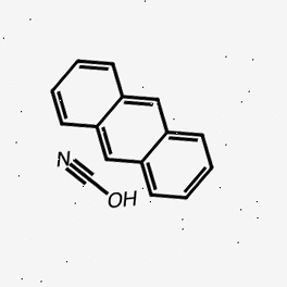 N#CO.c1ccc2cc3ccccc3cc2c1